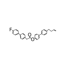 C=CCCc1ccc(-c2ccc(OC(=O)Cc3ccc(-c4ccc(F)cc4)cc3)cc2)cc1